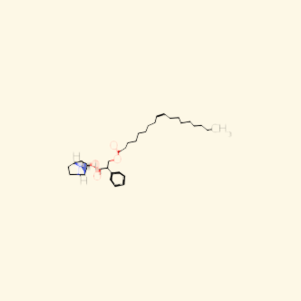 CCCCCCCC/C=C\CCCCCCCC(=O)OCC(C(=O)OC1C[C@H]2CC[C@@H](C1)N2C)c1ccccc1